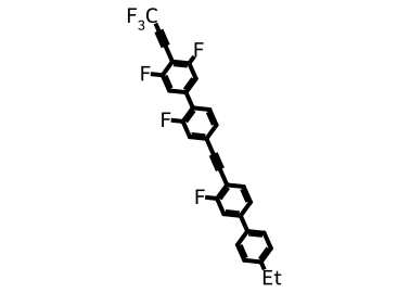 CCc1ccc(-c2ccc(C#Cc3ccc(-c4cc(F)c(C#CC(F)(F)F)c(F)c4)c(F)c3)c(F)c2)cc1